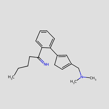 CCCCC(=N)c1ccccc1C1=CC(CN(C)C)=CC1